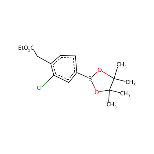 CCOC(=O)Cc1ccc(B2OC(C)(C)C(C)(C)O2)cc1Cl